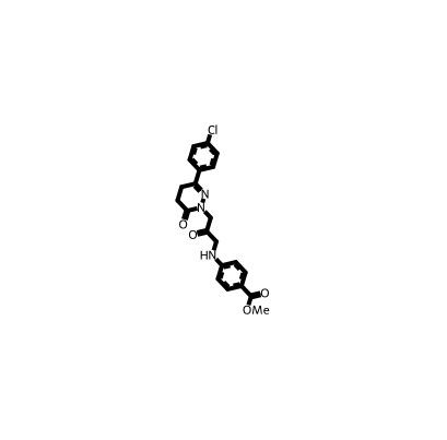 COC(=O)c1ccc(NCC(=O)CN2N=C(c3ccc(Cl)cc3)CCC2=O)cc1